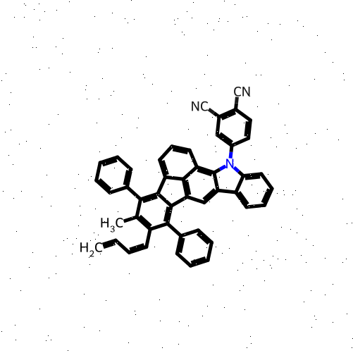 C=C/C=C\c1c(C)c(-c2ccccc2)c2c(c1-c1ccccc1)-c1cc3c4ccccc4n(-c4ccc(C#N)c(C#N)c4)c3c3cccc-2c13